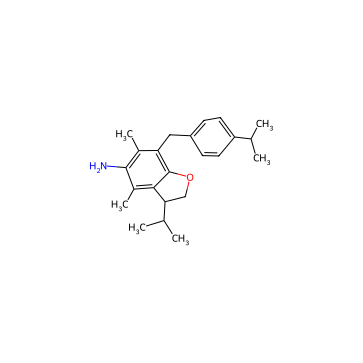 Cc1c(N)c(C)c2c(c1Cc1ccc(C(C)C)cc1)OCC2C(C)C